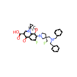 COc1c(N2CC[C@](CF)(CN(Cc3ccccc3)Cc3ccccc3)C2)c(F)cc2c(=O)c(C(=O)O)cn(C3CC3)c12